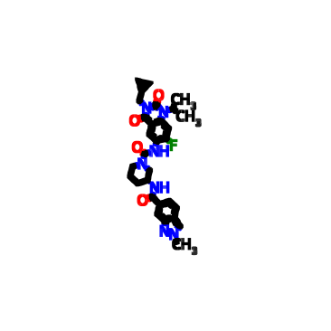 CC(C)n1c(=O)n(CC2CC2)c(=O)c2cc(NC(=O)N3CCC[C@@H](NC(=O)c4ccc5cn(C)nc5c4)C3)c(F)cc21